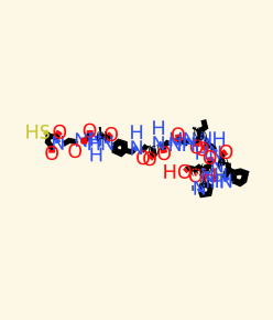 CC[C@H](C)[C@H](NC(=O)CNC(=O)[C@@H](Cc1c(SC)[nH]c2ccccc12)NC(=O)[C@H](C[C@@H](O)CO)NC[C@@H]1CCCN1C)C(=O)NCC(=O)NCC(=O)N[C@H](C=O)CC(=O)NCc1ccc(NC(=O)[C@H](C)NC(=O)CNC(=O)CCN2C(=O)CC(S)C2=O)cc1